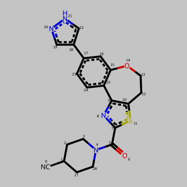 N#CC1CCN(C(=O)c2nc3c(s2)CCOc2cc(-c4cn[nH]c4)ccc2-3)CC1